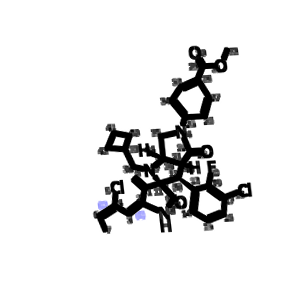 C=C1/C(=C\C(Cl)=C/C)NC(=O)[C@@]12[C@H](c1cccc(Cl)c1F)[C@H]1C(=O)N(c3ccc(C(=O)OC)cc3)C[C@H]1N2CC1CCC1